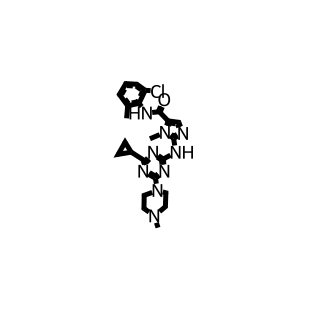 Cc1cccc(Cl)c1NC(=O)c1cnc(Nc2nc(C3CC3)nc(N3CCN(C)CC3)n2)n1C